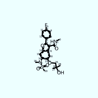 CNC(=O)c1c(-c2ccc(F)cc2)oc2cc(N(C)S(C)(=O)=O)c(OCC(C)(C)O)cc12